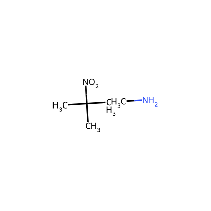 CC(C)(C)[N+](=O)[O-].CN